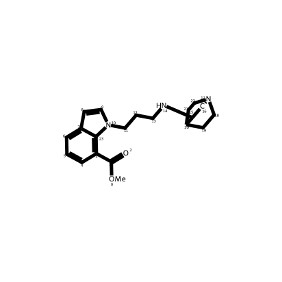 COC(=O)c1cccc2ccn(CCCNC3CN4CCC3CC4)c12